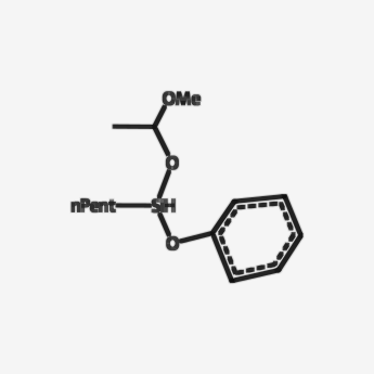 CCCCC[SiH](Oc1ccccc1)OC(C)OC